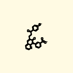 O=C(CCc1cc2cccnc2n(-c2cccc([N+](=O)[O-])c2)c1=O)c1cc[n+]([O-])cc1